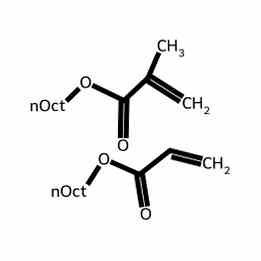 C=C(C)C(=O)OCCCCCCCC.C=CC(=O)OCCCCCCCC